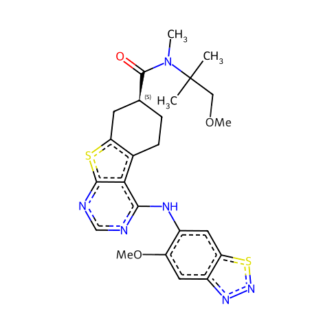 COCC(C)(C)N(C)C(=O)[C@H]1CCc2c(sc3ncnc(Nc4cc5snnc5cc4OC)c23)C1